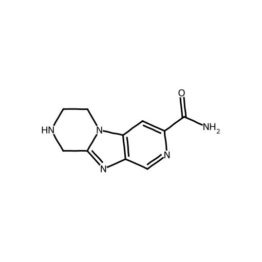 NC(=O)c1cc2c(cn1)nc1n2CCNC1